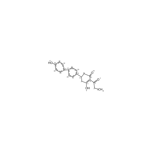 CCC(=O)C1=C(O)CC(c2ccc(-c3ccc(O)cc3)cc2)CC1=O